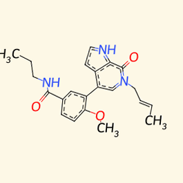 CC=CCn1cc(-c2cc(C(=O)NCCC)ccc2OC)c2cc[nH]c2c1=O